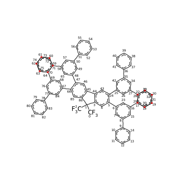 FC(F)(F)C1(C(F)(F)F)c2cc(-c3cc(-c4ccccc4)cc(-c4ccccc4)c3)c(-c3cc(-c4ccccc4)cc(-c4ccccc4)c3)cc2-c2cc(-c3cc(-c4ccccc4)cc(-c4ccccc4)c3)c(-c3cc(-c4ccccc4)cc(-c4ccccc4)c3)cc21